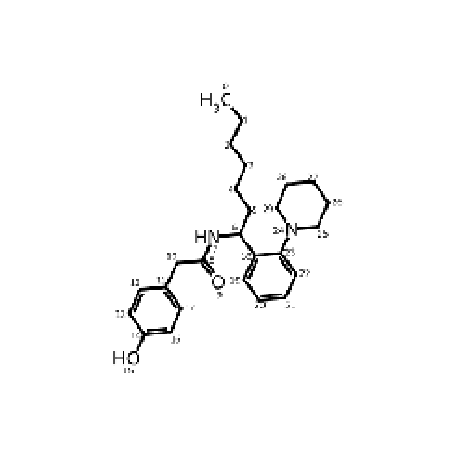 CCCCCCC(NC(=O)Cc1ccc(O)cc1)c1ccccc1N1CCCCC1